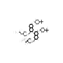 CC(C)(C)C1CCC(Oc2ccc3cc(CN4CCC(CC(=O)O)CC4)ccc3c2)CC1.CC(C)(C)C1CCC(Oc2ccc3cc(CN4CCC(O)(C(=O)O)CC4)ccc3c2)CC1